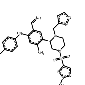 Cc1cc(Nc2ccc(F)cc2)c(C=N)cc1[C@@H]1CN(S(=O)(=O)c2cnn(C)n2)CCN1Cc1ccon1